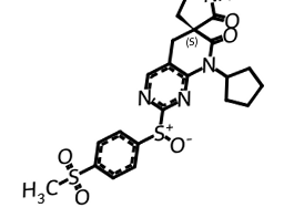 CS(=O)(=O)c1ccc([S+]([O-])c2ncc3c(n2)N(C2CCCC2)C(=O)[C@]2(CCNC2=O)C3)cc1